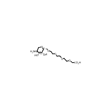 N[C@H]1CO[C@H](COCCOCCOCCOCC(=O)O)[C@H](O)[C@@H]1O